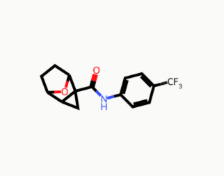 O=C(Nc1ccc(C(F)(F)F)cc1)C12CC1C1CCC2O1